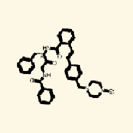 CCN1CCN(Cc2ccc(C=Cc3ccccc3C(=O)N[C@@H](Cc3ccccc3)C(=O)CNC(=O)c3ccccc3)cc2)CC1